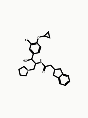 O=C(CC1Cc2ccccc2C1)NC(CN1CCCC1)C(O)c1ccc(OC2CC2)c(Cl)c1